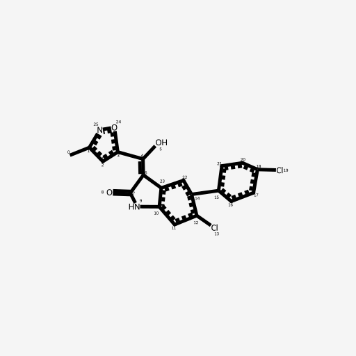 Cc1cc(C(O)=C2C(=O)Nc3cc(Cl)c(-c4ccc(Cl)cc4)cc32)on1